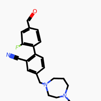 CN1CCCN(Cc2ccc(-c3ccc(C=O)cc3F)c(C#N)c2)CC1